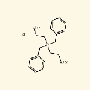 CCCCCCCCCCCC[P+](CCCCCCCCCCCC)(Cc1ccccc1)Cc1ccccc1.[Cl-]